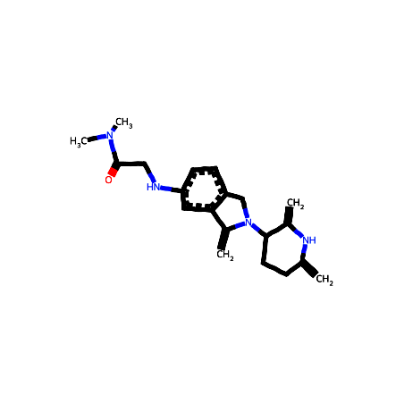 C=C1CCC(N2Cc3ccc(NCC(=O)N(C)C)cc3C2=C)C(=C)N1